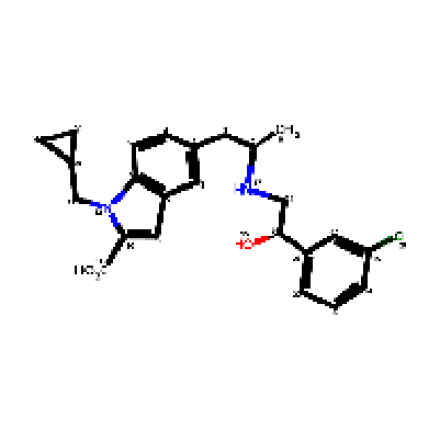 C[C@H](Cc1ccc2c(c1)cc(C(=O)O)n2CC1CC1)NC[C@H](O)c1cccc(Cl)c1